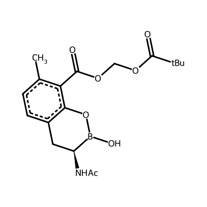 CC(=O)N[C@H]1Cc2ccc(C)c(C(=O)OCOC(=O)C(C)(C)C)c2OB1O